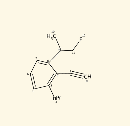 C#Cc1c(CCC)cccc1[C](C)CF